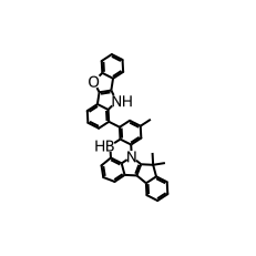 Cc1cc(-c2cccc3c2[nH]c2c4ccccc4oc32)c2c(c1)-n1c3c(c4cccc(c41)B2)-c1ccccc1C3(C)C